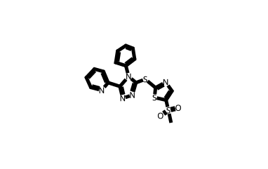 CS(=O)(=O)c1cnc(Sc2nnc(-c3ccccn3)n2-c2ccccc2)s1